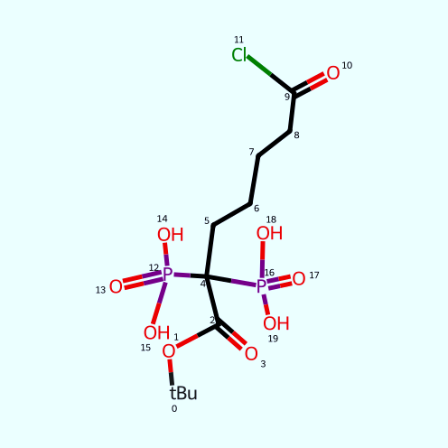 CC(C)(C)OC(=O)C(CCCCC(=O)Cl)(P(=O)(O)O)P(=O)(O)O